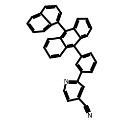 N#Cc1ccnc(-c2cccc(-c3c4ccccc4c(-c4cccc5ccccc45)c4ccccc34)c2)c1